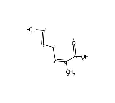 CC=CCC=C(C)C(=O)O